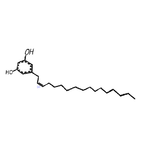 CCCCCCCCCCCCCC/C=C\Cc1cc(O)cc(O)c1